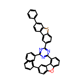 c1ccc(-c2ccc3c(c2)sc2ccc(-c4nc(-c5ccccc5)nc(-c5cccc6oc7ccc(-c8ccccc8)cc7c56)n4)cc23)cc1